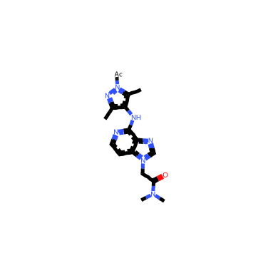 CC(=O)n1nc(C)c(Nc2nccc3c2ncn3CC(=O)N(C)C)c1C